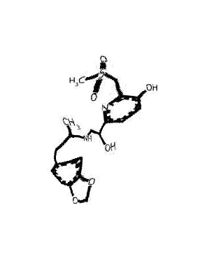 CC(Cc1ccc2c(c1)OCO2)NCC(O)c1ccc(O)c(CS(C)(=O)=O)n1